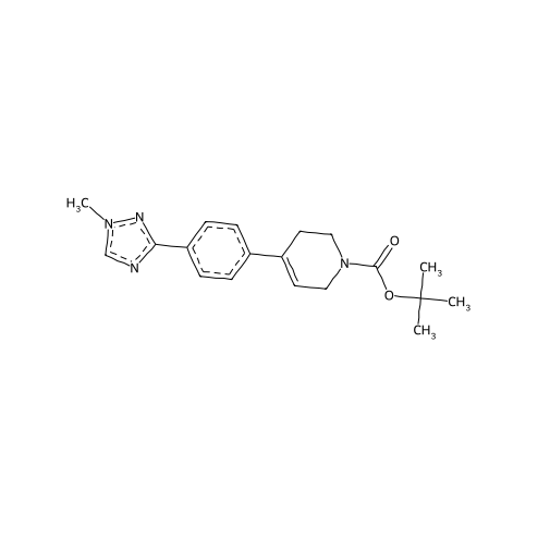 Cn1cnc(-c2ccc(C3=CCN(C(=O)OC(C)(C)C)CC3)cc2)n1